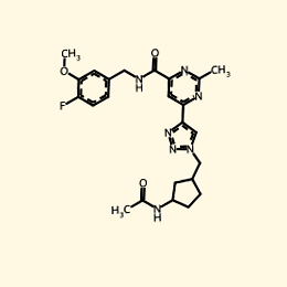 COc1cc(CNC(=O)c2cc(-c3cn(CC4CCC(NC(C)=O)C4)nn3)nc(C)n2)ccc1F